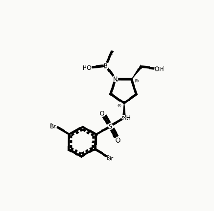 CB(O)N1C[C@H](NS(=O)(=O)c2cc(Br)ccc2Br)C[C@@H]1CO